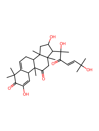 CC(C)(O)/C=C/C(=O)C(C)(O)C1C(O)CC2(C)C3CC=C4C(C=C(O)C(=O)C4(C)C)C3(C)C(=O)CC12C